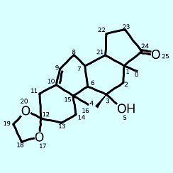 CC12C[C@](C)(O)C3C(CC=C4CC5(CCC43C)OCCO5)C1CCC2=O